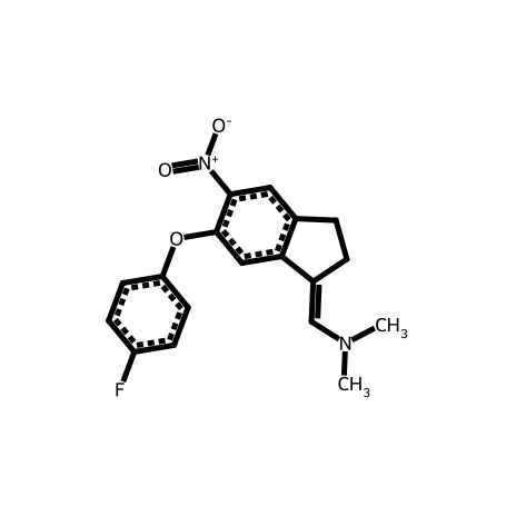 CN(C)C=C1CCc2cc([N+](=O)[O-])c(Oc3ccc(F)cc3)cc21